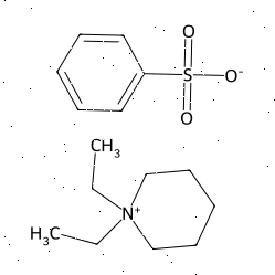 CC[N+]1(CC)CCCCC1.O=S(=O)([O-])c1ccccc1